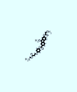 C=COC(=O)CCOc1ccc(OC(=O)c2ccc3c(c2)C(C)c2cc(OC(=O)C=C)ccc2-3)cc1